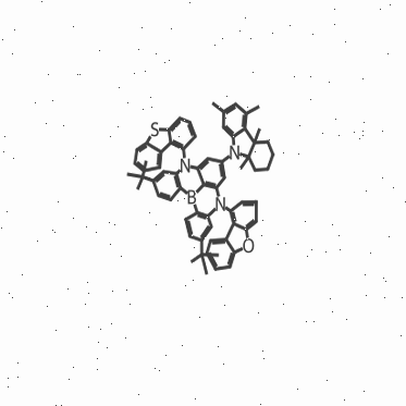 Cc1cc(C)c2c(c1)N(c1cc3c4c(c1)N(c1cccc5sc6ccccc6c15)c1cc(C(C)(C)C)ccc1B4c1ccc(C(C)(C)C)cc1N3c1cccc3oc4ccccc4c13)C1(C)CCCCC21C